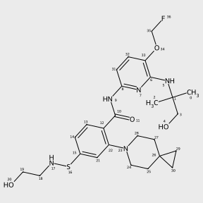 CC(C)(CO)Nc1nc(NC(=O)c2ccc(SNCCO)cc2N2CCC3(CC2)CC3)ccc1OCF